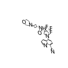 N#Cc1ccc(N2C[C@@]3(C(=O)N[C@H]4C[C@H](N5CCOCC5)C4)C[C@@]3(C(F)(F)F)C2)c2cccnc12